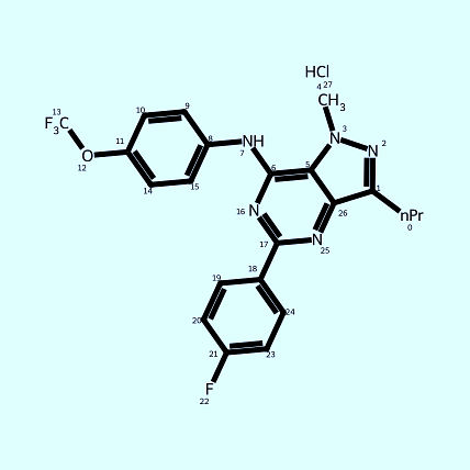 CCCc1nn(C)c2c(Nc3ccc(OC(F)(F)F)cc3)nc(-c3ccc(F)cc3)nc12.Cl